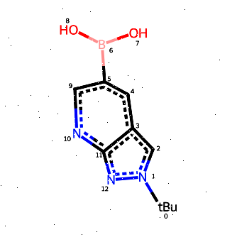 CC(C)(C)n1cc2cc(B(O)O)cnc2n1